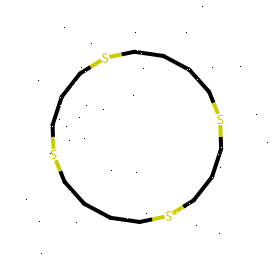 C1CCSCCCSCCCCSCCCSC1